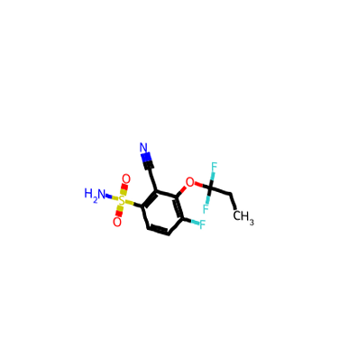 CCC(F)(F)Oc1c(F)ccc(S(N)(=O)=O)c1C#N